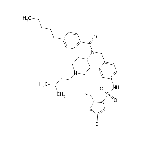 CCCCCc1ccc(C(=O)N(Cc2ccc(NS(=O)(=O)c3cc(Cl)sc3Cl)cc2)C2CCN(CCC(C)C)CC2)cc1